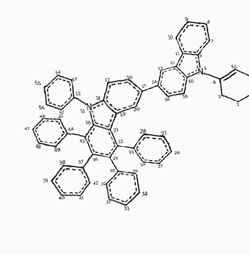 C1=CCCC(n2c3ccccc3c3cc(-c4ccc5c(c4)c4c(-c6ccccc6)c(-c6ccccc6)c(-c6ccccc6)c(-c6ccccc6)c4n5-c4ccccc4)ccc32)=C1